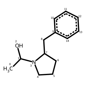 CC(O)N1CCCC1Cc1ccccc1